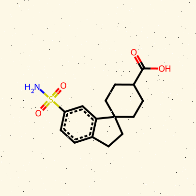 NS(=O)(=O)c1ccc2c(c1)C1(CC2)CCC(C(=O)O)CC1